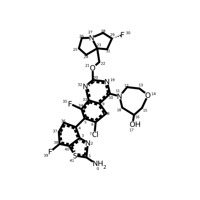 Nc1nc2c(-c3c(Cl)cc4c(N5CCOCC(O)C5)nc(OCC56CCCN5C[C@H](F)C6)nc4c3F)ccc(F)c2s1